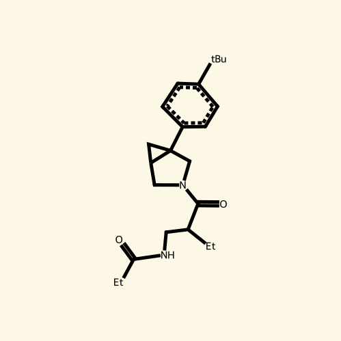 CCC(=O)NCC(CC)C(=O)N1CC2CC2(c2ccc(C(C)(C)C)cc2)C1